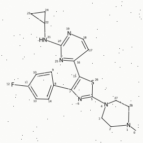 CN1CCN(c2nc(-c3ccc(F)cc3)c(-c3ccnc(NC4CC4)n3)s2)CC1